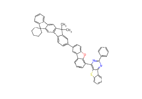 CC1(C)c2cc(-c3ccc4oc5c(-c6nc(-c7ccccc7)nc7c6sc6ccccc67)cccc5c4c3)ccc2-c2cc3c(cc21)-c1ccccc1C31CCCCC1